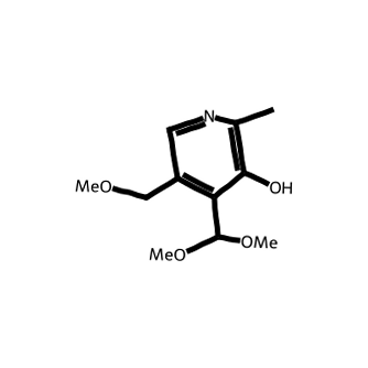 COCc1cnc(C)c(O)c1C(OC)OC